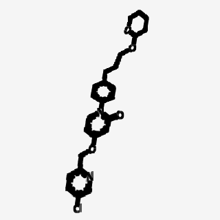 O=c1cc(OCc2ccc(Cl)cn2)ccn1-c1ccc(CCCOC2CCCCO2)cc1